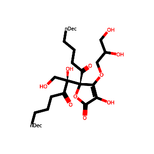 CCCCCCCCCCCCCC(=O)[C@]1([C@@](O)(CO)C(=O)CCCCCCCCCCCCC)OC(=O)C(O)=C1OCC(O)CO